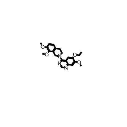 CCOc1cc2c(N3CCc4ccc(OC)c(OC)c4C3)ncnc2cc1OC